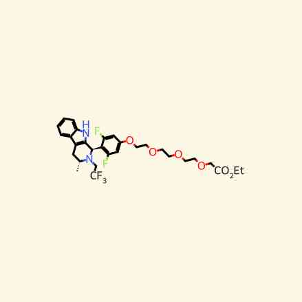 CCOC(=O)COCCOCCOCCOc1cc(F)c([C@@H]2c3[nH]c4ccccc4c3C[C@@H](C)N2CC(F)(F)F)c(F)c1